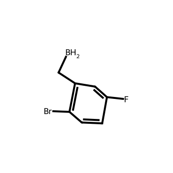 BCc1cc(F)ccc1Br